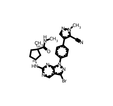 CNC(=O)[C@]1(C)CC[C@@H](Nc2ncc3c(Br)nn(-c4ccc(-c5cnn(C)c5C#N)cc4)c3n2)C1